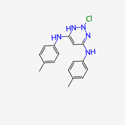 Cc1ccc(NC2=CC(Nc3ccc(C)cc3)=NN(Cl)N2)cc1